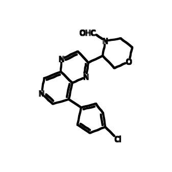 O=CN1CCOCC1c1cnc2cncc(-c3ccc(Cl)cc3)c2n1